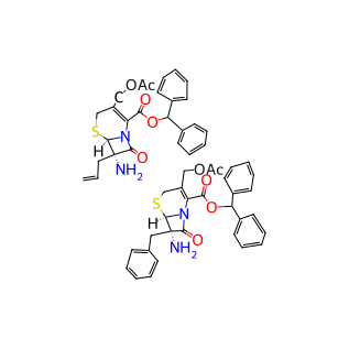 C=CC[C@]1(N)C(=O)N2C(C(=O)OC(c3ccccc3)c3ccccc3)=C(COC(C)=O)CS[C@@H]21.CC(=O)OCC1=C(C(=O)OC(c2ccccc2)c2ccccc2)N2C(=O)[C@@](N)(Cc3ccccc3)[C@H]2SC1